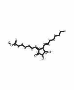 CCCCCCC=CC1C(=CCCCCCC(=O)OC)C(=O)C(Br)C1O